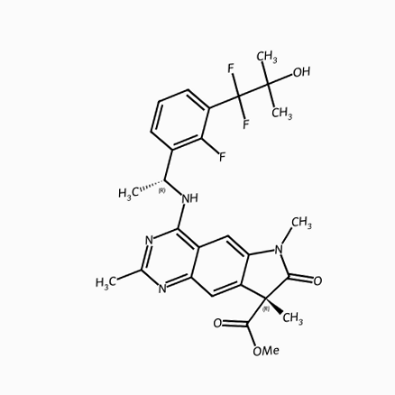 COC(=O)[C@@]1(C)C(=O)N(C)c2cc3c(N[C@H](C)c4cccc(C(F)(F)C(C)(C)O)c4F)nc(C)nc3cc21